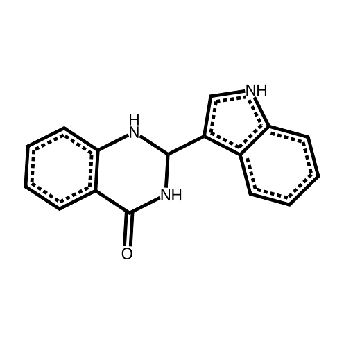 O=C1NC(c2c[nH]c3ccccc23)Nc2ccccc21